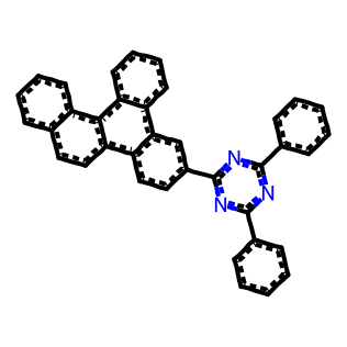 c1ccc(-c2nc(-c3ccccc3)nc(-c3ccc4c(c3)c3ccccc3c3c5ccccc5ccc43)n2)cc1